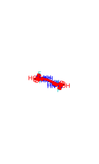 N=C(NCCCCCCNC(=N)NC(=N)N1CCN(c2cc3c(cc2F)c(=O)c(C(=O)O)cn3-c2ccc(F)cc2)CC1)NC(=N)N1CCN(c2cc3c(cc2F)c(=O)c(C(=O)O)cn3-c2ccc(F)cc2)CC1